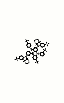 CC(C)(C)c1ccc(N2c3ccc(N4c5ccc(C(C)(C)C)cc5C5(C)CCCCC45C)cc3B3c4ccc(C(C)(C)C)cc4N(c4cccc(C(C)(C)C)c4)c4cc(N5c6ccc([Si](C)(C)C)cc6C6(C)CCCCC56C)cc2c43)cc1